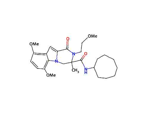 COCCN1C(=O)c2cc3c(OC)ccc(OC)c3n2CC1(C)C(=O)NC1CCCCCCC1